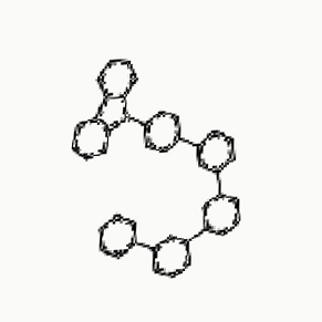 c1ccc(-c2cccc(-c3cccc(-c4cccc(-c5ccc(-n6c7ccccc7c7ccccc76)cc5)c4)c3)c2)cc1